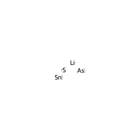 [As].[Li].[S].[Sn]